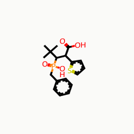 CC(C)(C)C(C(C(=O)O)c1cccs1)P(=O)(O)Cc1ccccc1